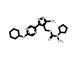 Cc1noc(-c2cnc(OC3CCCCC3)cn2)c1COC(=O)N(C)C1CCCC1